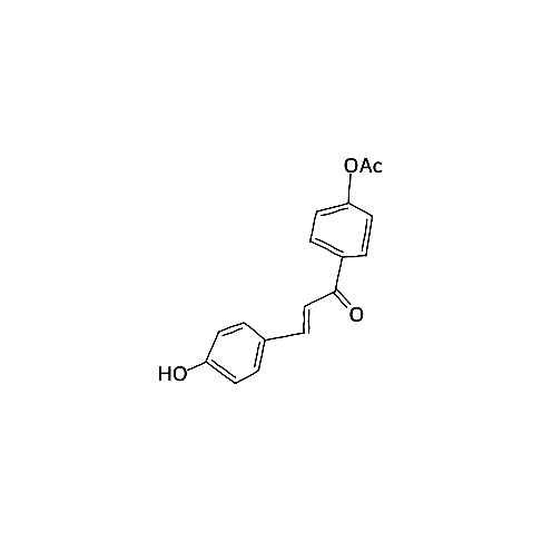 CC(=O)Oc1ccc(C(=O)C=Cc2ccc(O)cc2)cc1